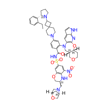 CCc1ccccc1[C@@H]1CCCN1C1CC2(CCN(c3ccc(C(=O)NS(=O)(=O)c4cc5c(c([N+](=O)[O-])c4)N[C@@H](CN4C[C@H]6C[C@@H]4CO6)CO5)c(N4C[C@H]5COCC[C@H]5Oc5nc6[nH]ccc6cc54)c3)CC2)C1